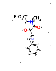 CCOC(=O)CN(C)C(=O)C(=O)/C=C/c1ccccc1